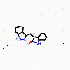 O=C1Nc2ccccc2/C1=C/c1n[nH]c2ccccc12